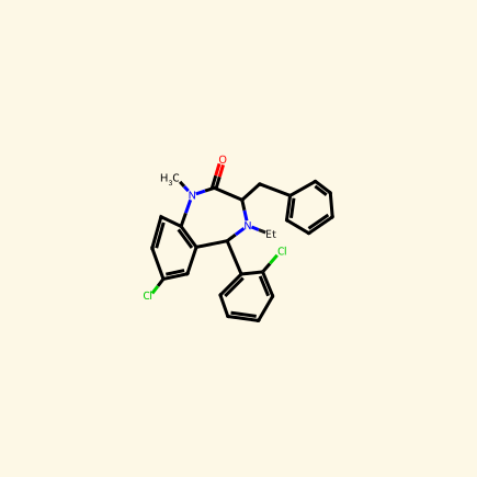 CCN1C(Cc2ccccc2)C(=O)N(C)c2ccc(Cl)cc2C1c1ccccc1Cl